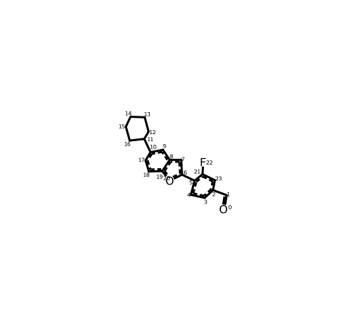 O=Cc1ccc(-c2cc3cc(C4CCCCC4)ccc3o2)c(F)c1